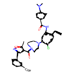 C=Cc1cc(Cl)c(N2CCN(C(=O)c3c(-c4cccc(OC)c4)noc3C)CC2)cc1NC(=O)c1ccc(N(C)C)cc1